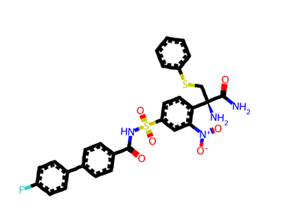 NC(=O)[C@@](N)(CSc1ccccc1)c1ccc(S(=O)(=O)NC(=O)c2ccc(-c3ccc(F)cc3)cc2)cc1[N+](=O)[O-]